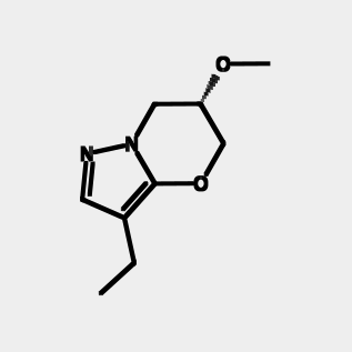 CCc1cnn2c1OC[C@@H](OC)C2